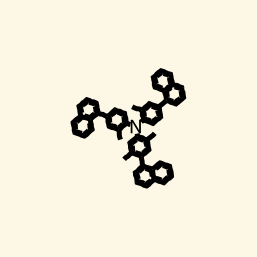 Cc1cc(N(c2ccc(-c3cccc4ccccc34)cc2C)c2ccc(-c3cccc4ccccc34)cc2C)c(C)cc1-c1cccc2ccccc12